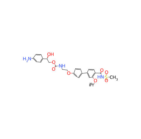 CC(C)Oc1cc(-c2ccc(OCCNC(=O)OC[C@H](O)c3ccc(N)cc3)cc2)ccc1C(=O)NS(C)(=O)=O